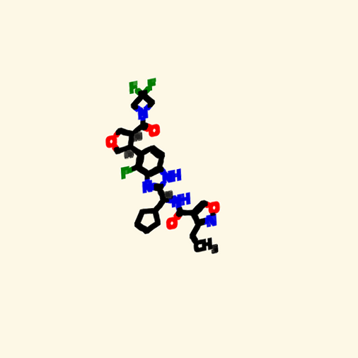 CCc1nocc1C(=O)N[C@H](c1nc2c(F)c([C@H]3COC[C@H]3C(=O)N3CC(F)(F)C3)ccc2[nH]1)C1CCCC1